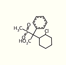 CS(=O)(=O)C(C(=O)O)(c1ccccc1)C1CCCCC1Cl